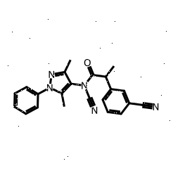 Cc1nn(-c2ccccc2)c(C)c1N(C#N)C(=O)C(C)c1cccc(C#N)c1